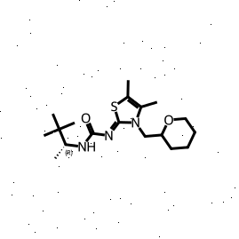 Cc1sc(=NC(=O)N[C@H](C)C(C)(C)C)n(CC2CCCCO2)c1C